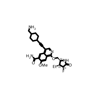 CC[C@@H]1[C@H](F)C(=O)N[C@@H]1COc1ncc(C#CC2CCC(CN)CC2)c2cc(C(N)=O)c(OC)cc12